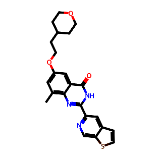 Cc1cc(OCCC2CCOCC2)cc2c(=O)[nH]c(-c3cc4ccsc4cn3)nc12